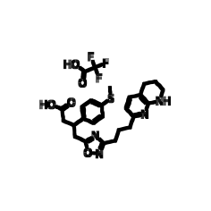 CSc1ccc(C(CC(=O)O)Cc2nc(CCCc3ccc4c(n3)NCCC4)no2)cc1.O=C(O)C(F)(F)F